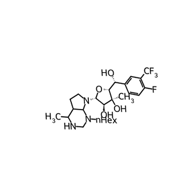 CCCCCCN1CNC(C)C2CCN([C@@H]3O[C@H]([C@H](O)c4ccc(F)c(C(F)(F)F)c4)[C@@](C)(O)[C@H]3O)C21